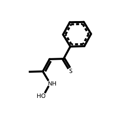 CC(=CC(=S)c1ccccc1)NO